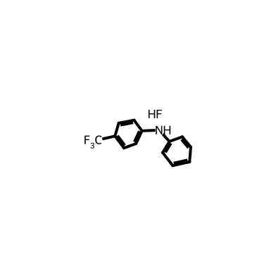 F.FC(F)(F)c1ccc(Nc2ccccc2)cc1